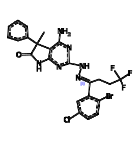 CC1(c2ccccc2)C(=O)Nc2nc(N/N=C(\CCC(F)(F)F)c3cc(Cl)ccc3Br)nc(N)c21